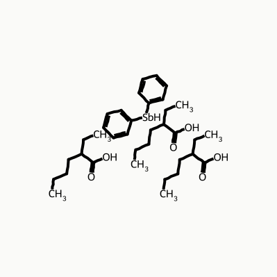 CCCCC(CC)C(=O)O.CCCCC(CC)C(=O)O.CCCCC(CC)C(=O)O.c1cc[c]([SbH][c]2ccccc2)cc1